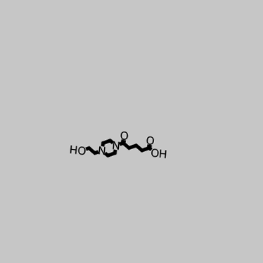 O=C(O)CCCC(=O)N1CCN(CCO)CC1